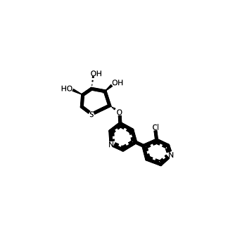 O[C@@H]1[C@@H](O)[C@H](Oc2cncc(-c3ccncc3Cl)c2)SC[C@H]1O